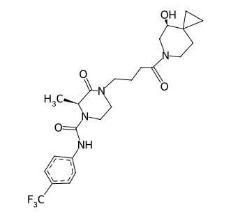 C[C@H]1C(=O)N(CCCC(=O)N2CCC3(CC3)[C@H](O)C2)CCN1C(=O)Nc1ccc(C(F)(F)F)cc1